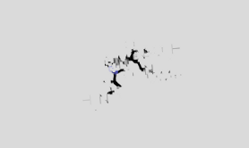 CON=CC1C(NC(=O)/C(=N\OC)c2csc(N)n2)C(=O)N1S(=O)(=O)O